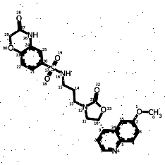 COc1ccc2nccc([C@@H]3CN(CCCNS(=O)(=O)c4ccc5c(c4)NC(=O)CO5)C(=O)O3)c2c1